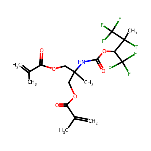 C=C(C)C(=O)OCC(C)(COC(=O)C(=C)C)NC(=O)OC(C(F)(F)F)C(C)(F)C(F)(F)F